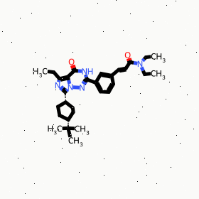 CCc1nc([C@H]2CC[C@@H](C(C)(C)C)CC2)n2nc(-c3cccc(C=CC(=O)N(CC)CC)c3)[nH]c(=O)c12